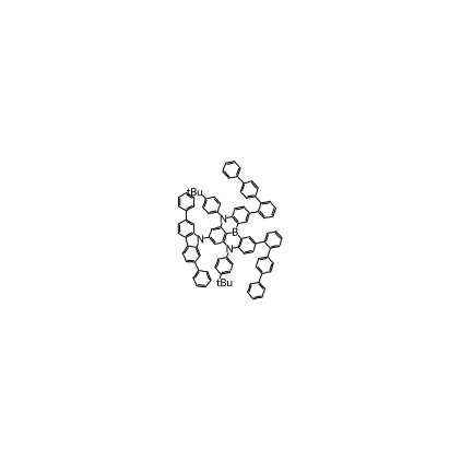 CC(C)(C)c1ccc(N2c3ccc(-c4ccccc4-c4ccc(-c5ccccc5)cc4)cc3B3c4cc(-c5ccccc5-c5ccc(-c6ccccc6)cc5)ccc4N(c4ccc(C(C)(C)C)cc4)c4cc(-n5c6cc(-c7ccccc7)ccc6c6ccc(-c7ccccc7)cc65)cc2c43)cc1